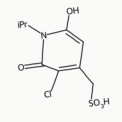 CC(C)n1c(O)cc(CS(=O)(=O)O)c(Cl)c1=O